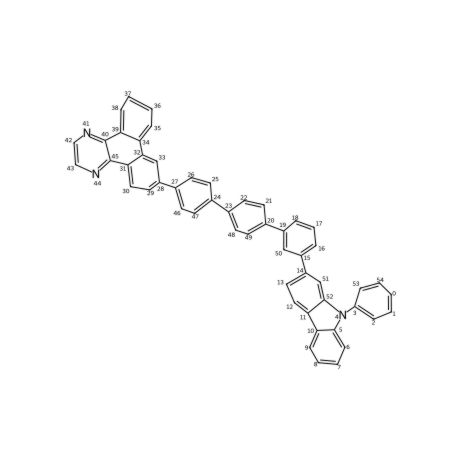 c1ccc(-n2c3ccccc3c3ccc(-c4cccc(-c5ccc(-c6ccc(-c7ccc8c(c7)c7ccccc7c7nccnc87)cc6)cc5)c4)cc32)cc1